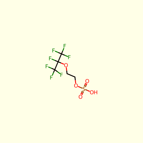 O=S(=O)(O)OCCOC(F)(C(F)(F)F)C(F)(F)F